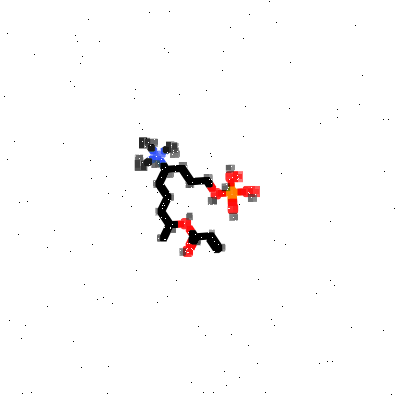 C=CC(=O)OC(C)CCCC(CCCOP(=O)(O)O)[N+](CC)(CC)CC